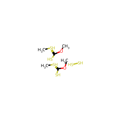 COC(S)=[SH]C.COC(S)=[SH]C.SS